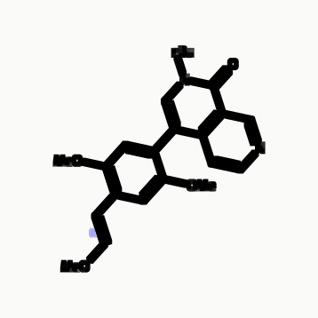 CCCCn1cc(-c2cc(OC)c(/C=C/OC)cc2OC)c2ccncc2c1=O